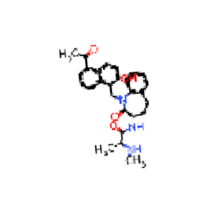 CN[C@@H](C)C(=O)N[C@H]1CCc2ccc#cc2N(Cc2c(O)ccc3c(C(C)=O)cccc23)C1=O